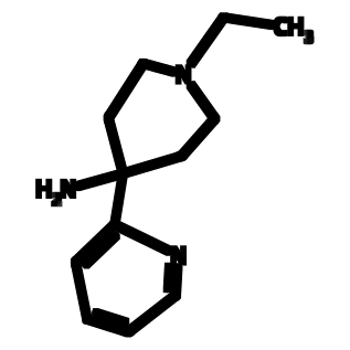 CCN1CCC(N)(c2ccccn2)CC1